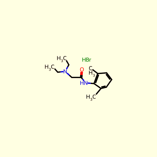 Br.CCN(CC)CC(=O)Nc1c(C)cccc1C